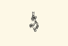 COc1ccccc1CN1CCN(Cc2ccc3c(c2)c(-c2ccc(OC(F)(F)F)cc2)cn3CCCNC(=O)C2CNCCN2)CC1